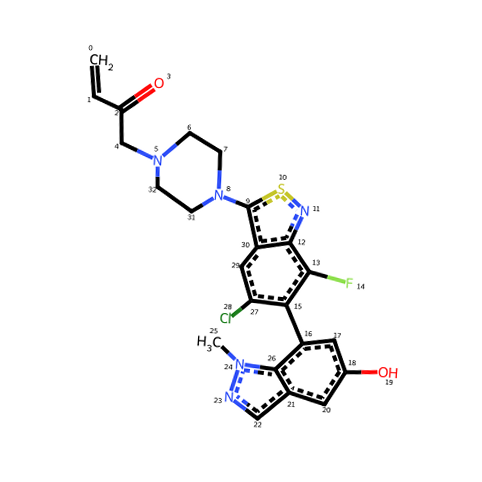 C=CC(=O)CN1CCN(c2snc3c(F)c(-c4cc(O)cc5cnn(C)c45)c(Cl)cc23)CC1